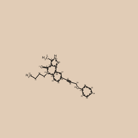 Cc1[nH]nc2c1c(=O)n(CCCN)c1ccc(C#CCOc3ccccc3)cc21